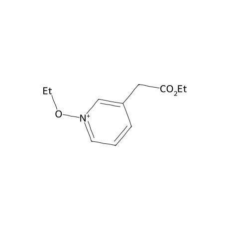 CCOC(=O)Cc1ccc[n+](OCC)c1